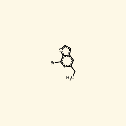 CCc1cc(Br)c2sccc2c1